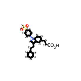 CS(=O)(=O)c1ccc(-n2cc(CCc3ccccc3)c3cc(CCC(=O)O)ccc32)cc1